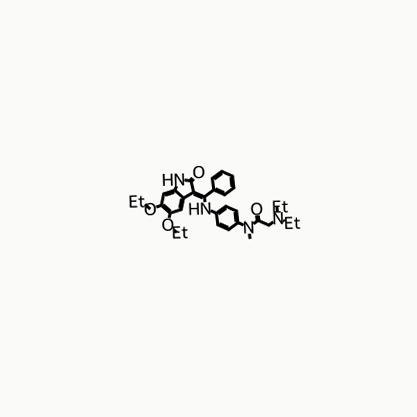 CCOc1cc2c(cc1OCC)C(=C(Nc1ccc(N(C)C(=O)CN(CC)CC)cc1)c1ccccc1)C(=O)N2